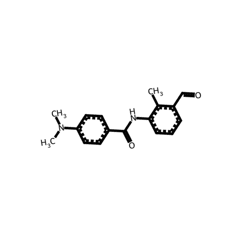 Cc1c(C=O)cccc1NC(=O)c1ccc(N(C)C)cc1